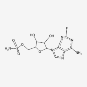 Nc1nc(F)nc2c1ncn2C1OC(COS(N)(=O)=O)C(O)C1O